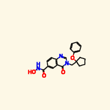 O=C(NO)c1ccc2ncn(CC3(Oc4ccccc4)CCCC3)c(=O)c2c1